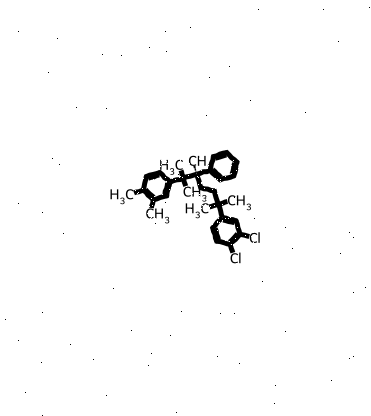 Cc1ccc(C(C)(C)[C@](C)(CCC(C)(C)c2ccc(Cl)c(Cl)c2)c2ccccc2)cc1C